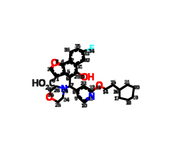 O=C(O)c1coc2c1c(C(c1ccnc(OCCC3CCCCC3)c1)N1CCOCC1)c(O)c1cc(F)ccc12